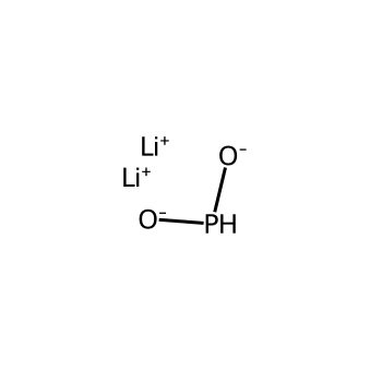 [Li+].[Li+].[O-]P[O-]